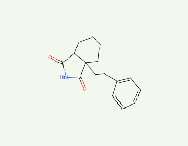 O=C1NC(=O)C2(CCc3ccccc3)CCCCC12